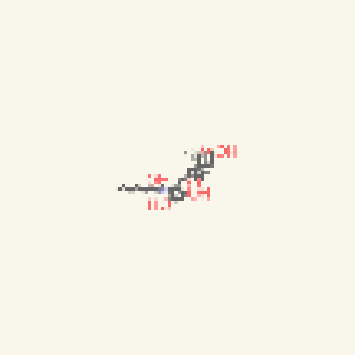 [2H]C([2H])(CC(=O)O)C([2H])([2H])CC(=O)C[C@@H]1[C@@H](/C=C/[C@@H](O)CCCCC)[C@H](O)C[C@@H]1O